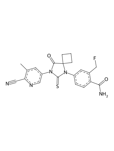 Cc1cc(N2C(=O)C3(CCC3)N(c3ccc(C(N)=O)c(CF)c3)C2=S)cnc1C#N